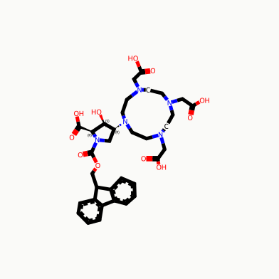 O=C(O)CN1CCN(CC(=O)O)CCN([C@@H]2CN(C(=O)OCC3c4ccccc4-c4ccccc43)[C@@H](C(=O)O)[C@H]2O)CCN(CC(=O)O)CC1